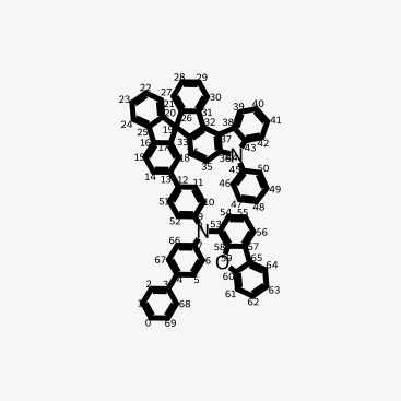 c1ccc(-c2ccc(N(c3ccc(-c4ccc5c(c4)C4(c6ccccc6-5)c5ccccc5-c5c4ccc4c5c5ccccc5n4-c4ccccc4)cc3)c3cccc4c3oc3ccccc34)cc2)cc1